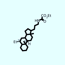 CCOC(=O)C(=O)NCCCC1CCC2C3C[C@H](CC)C4CCCCC4(C)[C@H]3CCC12C